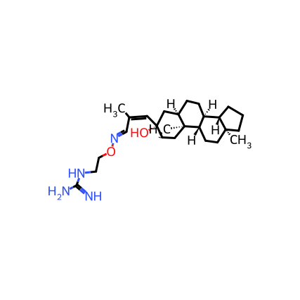 CC(C=NOCCNC(=N)N)=C[C@]1(O)CC[C@@]2(C)[C@H](CC[C@H]3[C@@H]4CCC[C@@]4(C)CC[C@@H]32)C1